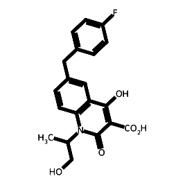 CC(CO)n1c(=O)c(C(=O)O)c(O)c2cc(Cc3ccc(F)cc3)ccc21